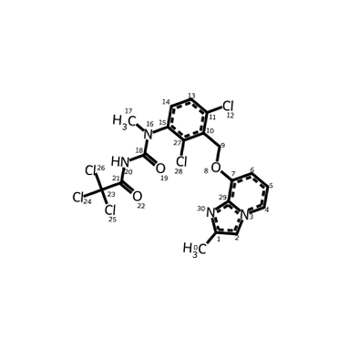 Cc1cn2cccc(OCc3c(Cl)ccc(N(C)C(=O)NC(=O)C(Cl)(Cl)Cl)c3Cl)c2n1